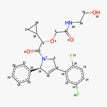 O=C(CO[C@H](C(=O)N1CC(c2cc(F)ccc2F)=C[C@H]1c1ccccc1)C1CC1)NCCO